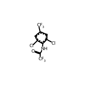 O=C(Nc1c(Cl)cc(C(F)(F)F)cc1Cl)C(F)(F)F